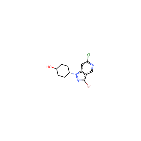 O[C@H]1CC[C@H](n2nc(Br)c3cnc(Cl)cc32)CC1